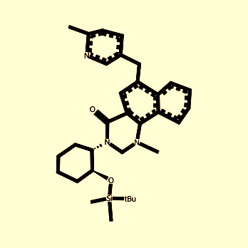 Cc1ccc(Cc2cc3c(c4ccccc24)N(C)CN([C@H]2CCCC[C@@H]2O[Si](C)(C)C(C)(C)C)C3=O)cn1